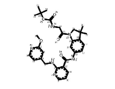 COc1cc(CNc2ncccc2C(=O)Nc2ccc3c(c2)N(C(=O)CNC(=O)OC(C)(C)C)CC3(C)C)ccn1